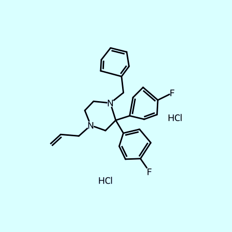 C=CCN1CCN(Cc2ccccc2)C(c2ccc(F)cc2)(c2ccc(F)cc2)C1.Cl.Cl